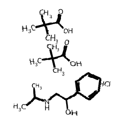 CC(C)(C)C(=O)O.CC(C)(C)C(=O)O.CC(C)NCC(O)c1ccccc1.Cl